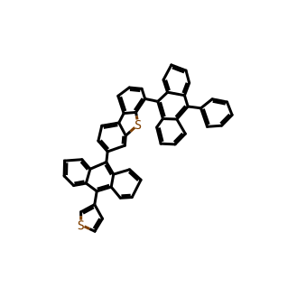 c1ccc(-c2c3ccccc3c(-c3cccc4c3sc3cc(-c5c6ccccc6c(-c6ccsc6)c6ccccc56)ccc34)c3ccccc23)cc1